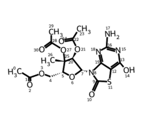 CC(=O)OC[C@H]1O[C@@H](n2c(=O)sc3c(O)nc(N)nc32)[C@H](OC(C)=O)[C@@]1(C)OC(C)=O